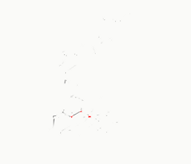 C/C=C(\C(C)=N\CNc1cnn(CC(=O)N2CCN(C)CC2)c1)N1CC2CCC(C1)N2S(=O)(=O)Cc1ccccc1Cl